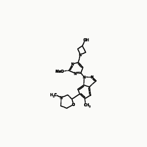 COc1nc(N2CC(O)C2)cc(-n2ncc3cc(C)c(C4CN(C)CCO4)cc32)n1